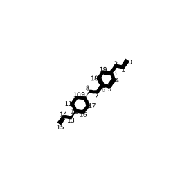 C=CCc1ccc(CC[C@H]2CC[C@H](CC=C)CC2)cc1